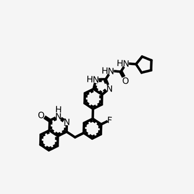 O=C(Nc1nc2cc(-c3cc(Cc4n[nH]c(=O)c5ccccc45)ccc3F)ccc2[nH]1)NC1CCCC1